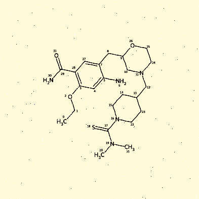 CCOc1cc(N)c(CC2CN(CC3CCN(C(=S)N(C)C)CC3)CCO2)cc1C(N)=O